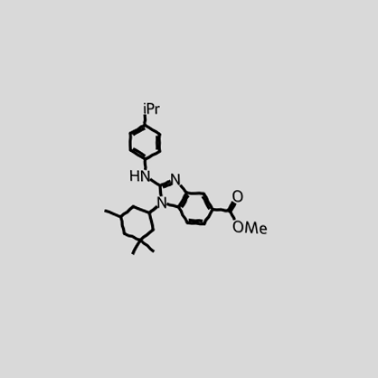 COC(=O)c1ccc2c(c1)nc(Nc1ccc(C(C)C)cc1)n2C1CC(C)CC(C)(C)C1